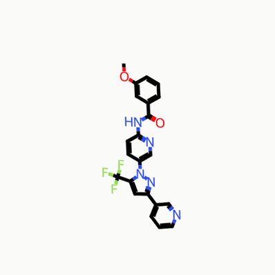 COc1cccc(C(=O)Nc2ccc(-n3nc(-c4cccnc4)cc3C(F)(F)F)cn2)c1